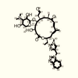 CC[C@H]1OC(=O)C[C@@H](O)[C@H](C)[C@@H](O[C@@H]2O[C@H](C)[C@@H](O)C(N(C)C)C2O)[C@@H](CC=O)C[C@@H](C)C(=O)/C=C/C(C)=C/[C@@H]1Cn1cc(Cn2nnc3ccccc32)nn1